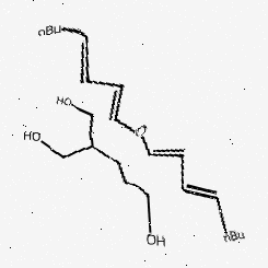 CCCCC=CC=COC=CC=CCCCC.OCCCC(CO)CO